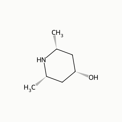 C[C@@H]1C[C@H](O)C[C@H](C)N1